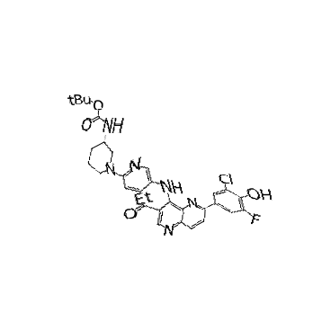 CCC(=O)c1cnc2ccc(-c3cc(F)c(O)c(Cl)c3)nc2c1Nc1ccc(N2CCC[C@H](NC(=O)OC(C)(C)C)C2)nc1